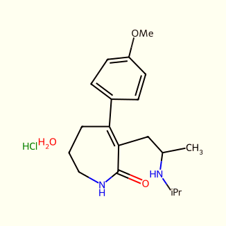 COc1ccc(C2=C(CC(C)NC(C)C)C(=O)NCCC2)cc1.Cl.O